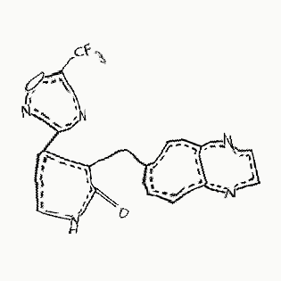 O=c1[nH]ccc(-c2noc(C(F)(F)F)n2)c1Cc1ccc2nccnc2c1